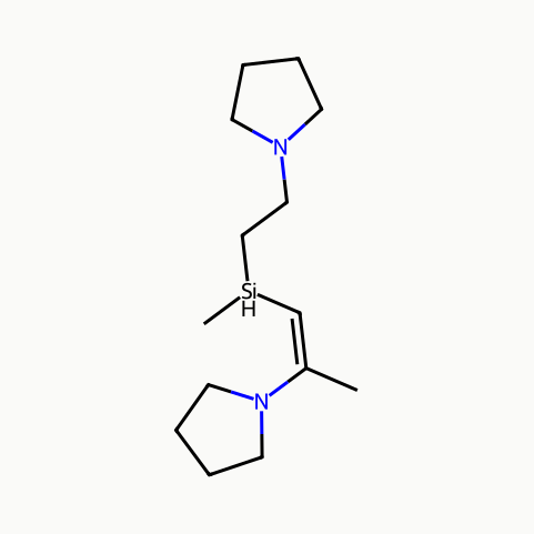 CC(=C[SiH](C)CCN1CCCC1)N1CCCC1